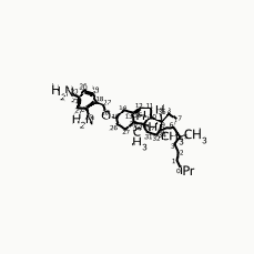 CC(C)CCC[C@@H](C)[C@H]1CC[C@H]2[C@@H]3CC=C4C[C@@H](OCc5ccc(N)cc5N)CC[C@]4(C)[C@H]3CC[C@]12C